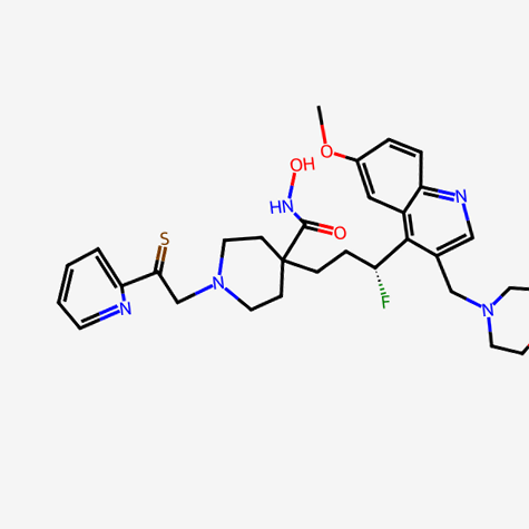 COc1ccc2ncc(CN3CCOCC3)c([C@H](F)CCC3(C(=O)NO)CCN(CC(=S)c4ccccn4)CC3)c2c1